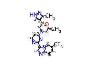 Cc1n[nH]cc1[C@@H]1CN(c2ccnc(-c3cnc4ccc(C(F)(F)F)cn34)n2)C[C@H](C)O1